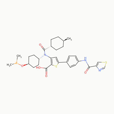 CP(C)O[C@H]1CC[C@H](N(c2cc(-c3ccc(NC(=O)c4cscn4)cc3)sc2C(=O)O)C(=O)[C@H]2CC[C@H](C)CC2)CC1